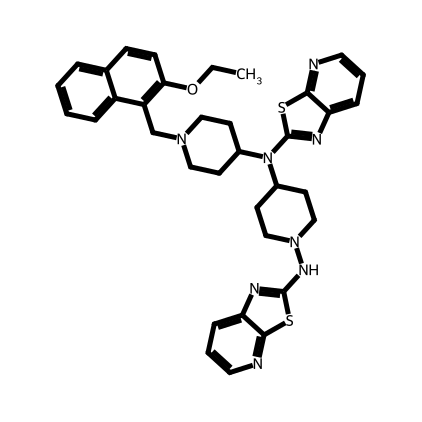 CCOc1ccc2ccccc2c1CN1CCC(N(c2nc3cccnc3s2)C2CCN(Nc3nc4cccnc4s3)CC2)CC1